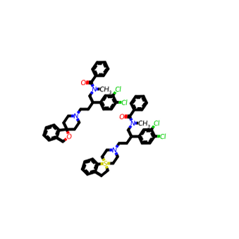 CN(CC(CCN1CCC2(CC1)OCc1ccccc12)c1ccc(Cl)c(Cl)c1)C(=O)c1ccccc1.CN(CC(CCN1CCS2(CCc3ccccc32)CC1)c1ccc(Cl)c(Cl)c1)C(=O)c1ccccc1